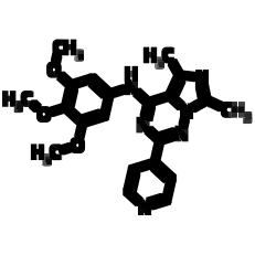 COc1cc(Nc2nc(-c3ccncc3)nn3c(C)nc(C)c23)cc(OC)c1OC